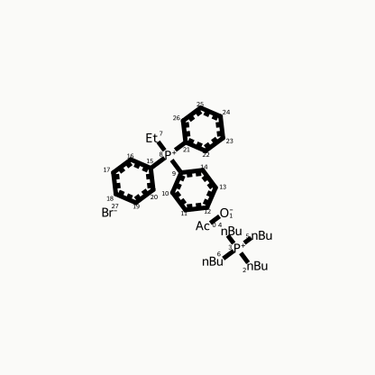 CC(=O)[O-].CCCC[P+](CCCC)(CCCC)CCCC.CC[P+](c1ccccc1)(c1ccccc1)c1ccccc1.[Br-]